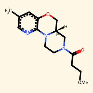 COCCC(=O)N1CCN2c3ncc(C(F)(F)F)cc3OC[C@@H]2C1